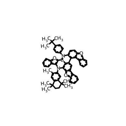 Cc1cc2c(cc1N1c3c(oc4ccccc34)B3c4c(cc5c(oc6ccccc65)c41)-c1c(ccc4oc5ccccc5c14)N3c1ccc(C(C)(C)C)cc1)C(C)(C)CCC2(C)C